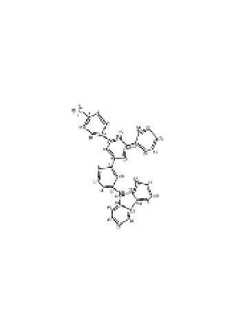 FC(F)(F)c1ccc(-c2cc(-c3cccc(-n4c5ccccc5c5cccnc54)c3)cc(-c3ccccn3)n2)cc1